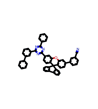 N#Cc1cccc(-c2ccc3c(c2)Oc2cc(-c4nc(-c5ccccc5)nc(-c5cccc(-c6ccccc6)c5)n4)ccc2C32c3ccccc3-c3ccccc32)c1